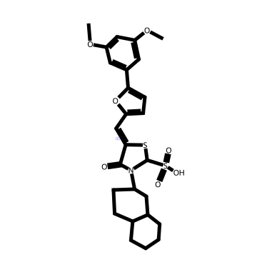 COc1cc(OC)cc(-c2ccc(/C=C3\SC(S(=O)(=O)O)N(C4CCC5CCCCC5C4)C3=O)o2)c1